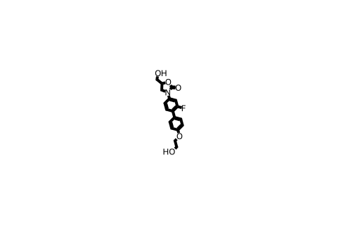 O=C1OC(CO)CN1c1ccc(-c2ccc(OCCO)cc2)c(F)c1